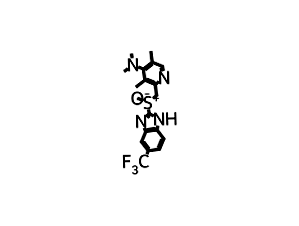 Cc1cnc(C[S+]([O-])c2nc3cc(C(F)(F)F)ccc3[nH]2)c(C)c1N(C)C